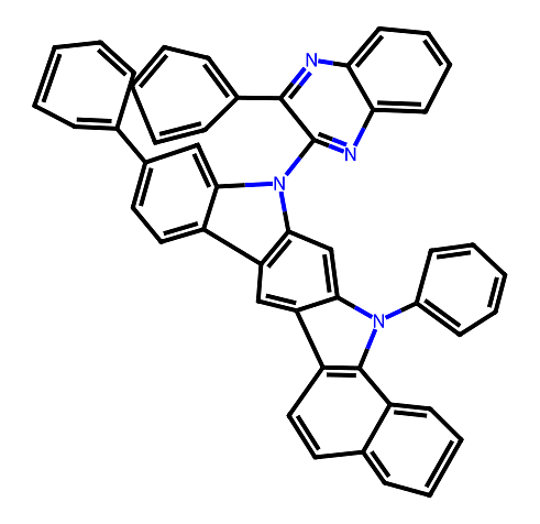 c1ccc(-c2ccc3c4cc5c6ccc7ccccc7c6n(-c6ccccc6)c5cc4n(-c4nc5ccccc5nc4-c4ccccc4)c3c2)cc1